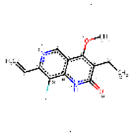 C=Cc1ncc2c(OC)c(CC)c(=O)[nH]c2c1F